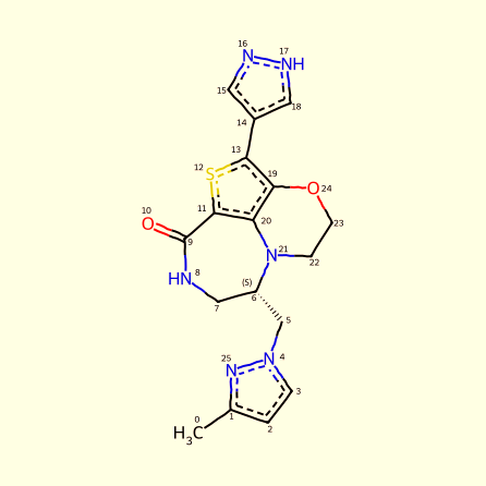 Cc1ccn(C[C@@H]2CNC(=O)c3sc(-c4cn[nH]c4)c4c3N2CCO4)n1